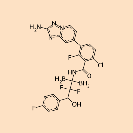 BC(B)(NC(=O)c1c(Cl)ccc(-c2ccn3nc(N)nc3c2)c1F)C(F)(F)C(O)c1ccc(F)cc1